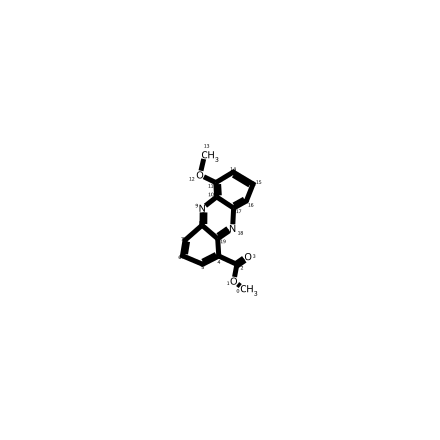 COC(=O)c1cccc2nc3c(OC)cccc3nc12